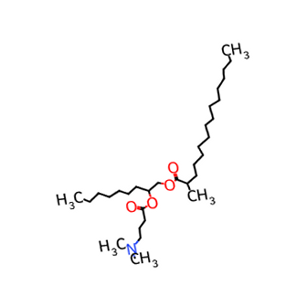 CCCCCCCCCCCCCCC(C)C(=O)OCC(CCCCCCC)OC(=O)CCCN(C)C